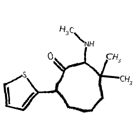 CNC1C(=O)C(c2cccs2)CCCC1(C)C